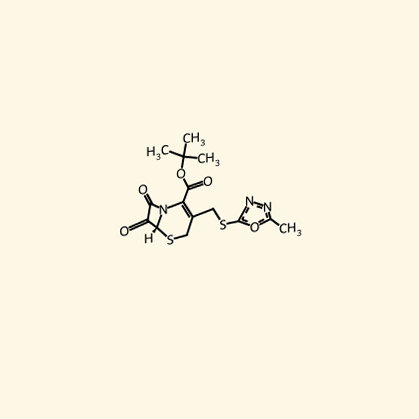 Cc1nnc(SCC2=C(C(=O)OC(C)(C)C)N3C(=O)C(=O)[C@H]3SC2)o1